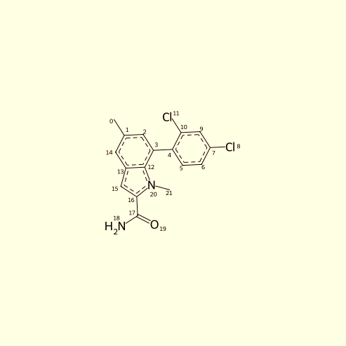 Cc1cc(-c2ccc(Cl)cc2Cl)c2c(c1)cc(C(N)=O)n2C